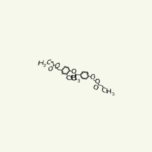 C=CC(=O)OCOc1ccc(C(=O)Oc2ccc(COC(=O)C=C)cc2C)cc1